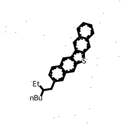 CCCCC(CC)Cc1ccc2cc3c(cc2c1)sc1cc2ccccc2cc13